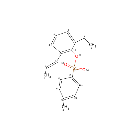 CC=Cc1cccc(CC)c1OS(=O)(=O)c1ccc(C)cc1